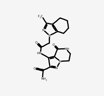 NC(=O)c1nn2c(c1NC(=O)Cn1nc(C(F)(F)F)c3c1CCCC3)C(=O)NCC2